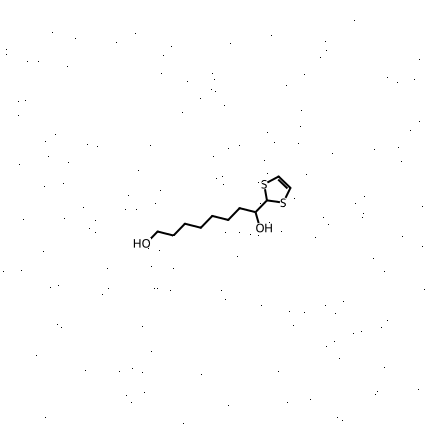 OCCCCCCCC(O)C1SC=CS1